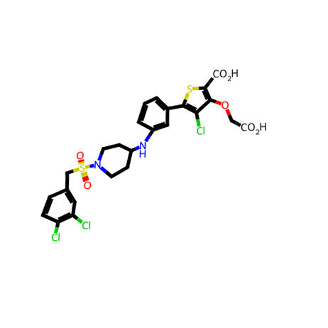 O=C(O)COc1c(C(=O)O)sc(-c2cccc(NC3CCN(S(=O)(=O)Cc4ccc(Cl)c(Cl)c4)CC3)c2)c1Cl